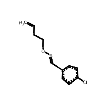 C=CCCON=[C]c1ccc(Cl)cc1